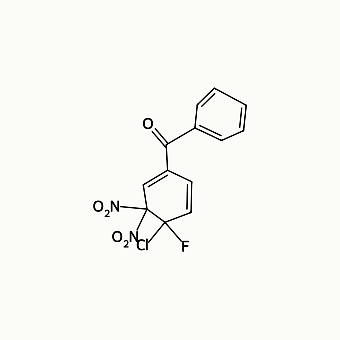 O=C(C1=CC([N+](=O)[O-])([N+](=O)[O-])C(F)(Cl)C=C1)c1ccccc1